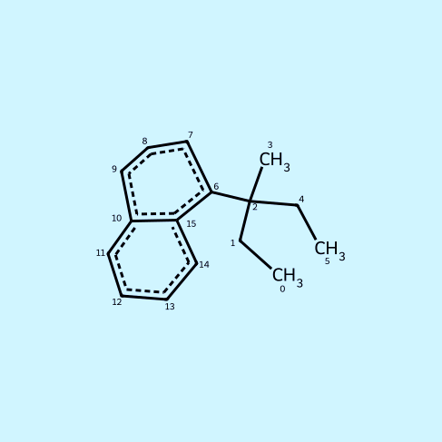 CCC(C)(CC)c1cccc2ccccc12